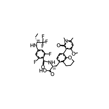 CC[C@@H](Nc1cc(F)c(C(=O)N[C@@H](Cc2ccc(-c3c(OC)cc(C)n(C)c3=O)c3c2CCCO3)C(=O)O)c(F)c1)C(F)(F)F